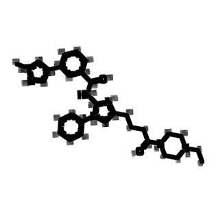 CCN1CCN(C(=O)CCCc2cn(-c3ccccc3)c(NC(=O)c3cccc(-c4cnn(C)c4)c3)n2)CC1